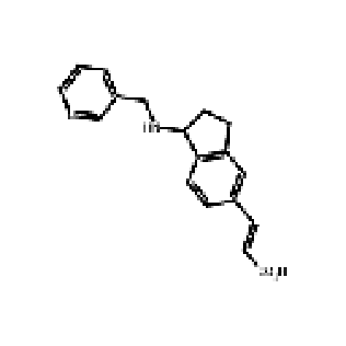 O=C(O)C=Cc1ccc2c(c1)CCC2NCc1cccnc1